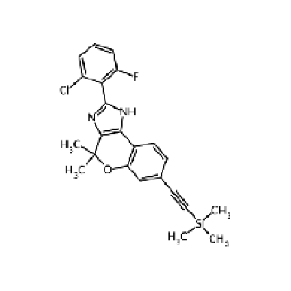 CC1(C)Oc2cc(C#C[Si](C)(C)C)ccc2-c2[nH]c(-c3c(F)cccc3Cl)nc21